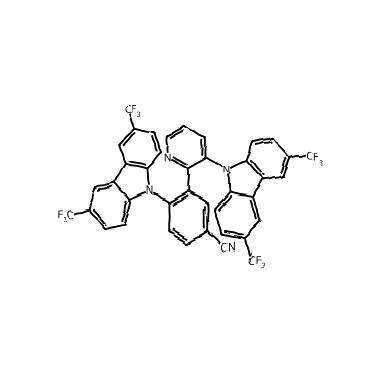 N#Cc1ccc(-n2c3ccc(C(F)(F)F)cc3c3cc(C(F)(F)F)ccc32)c(-c2ncccc2-n2c3ccc(C(F)(F)F)cc3c3cc(C(F)(F)F)ccc32)c1